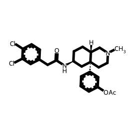 CC(=O)Oc1cccc([C@@]23CCN(C)C[C@H]2CC[C@H](NC(=O)Cc2ccc(Cl)c(Cl)c2)C3)c1